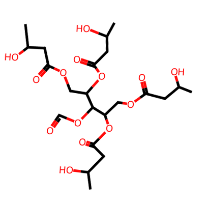 CC(O)CC(=O)OCC(OC(=O)CC(C)O)C(OC=O)C(COC(=O)CC(C)O)OC(=O)CC(C)O